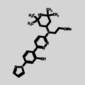 COCCN(c1ccc(-c2ccc(-n3cccn3)cc2O)nn1)C1CC(C)(C)NC(C)(C)C1